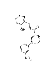 O=C(N=Cc1ncccc1O)C1=CN(c2cccc([N+](=O)[O-])c2)CC=N1